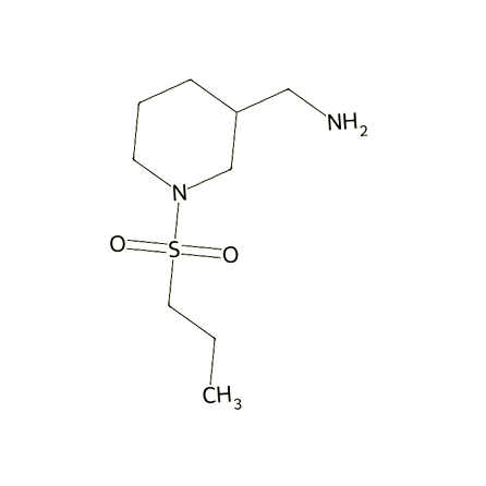 CCCS(=O)(=O)N1CCCC(CN)C1